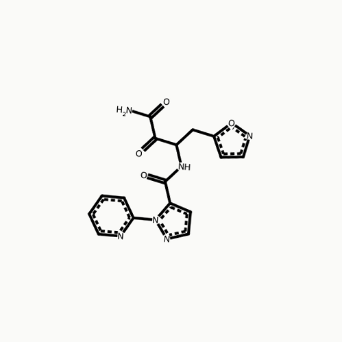 NC(=O)C(=O)C(Cc1ccno1)NC(=O)c1ccnn1-c1ccccn1